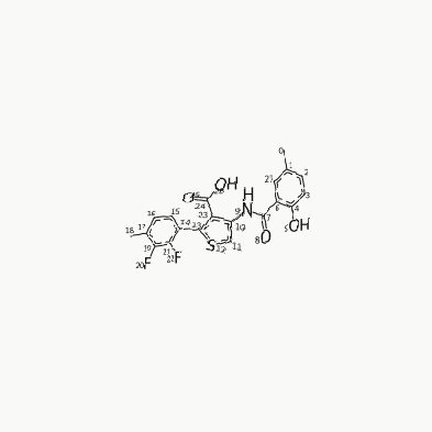 Cc1ccc(O)c(C(=O)Nc2csc(-c3ccc(C)c(F)c3F)c2C(=O)O)c1